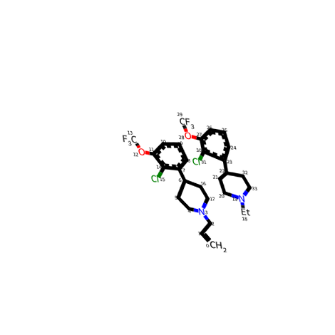 C=CCN1CCC(c2cccc(OC(F)(F)F)c2Cl)CC1.CCN1CCC(c2cccc(OC(F)(F)F)c2Cl)CC1